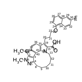 CCc1c2c(nn1C)CCCCCCn1c(C(=O)O)c(CCCOc3cccc4cc(F)ccc34)c3ccc(Cl)c-2c31